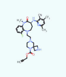 C#CCOC(=O)N1CCN(CCN2CC[C@H](Nc3nc(C)cc(C(F)(F)F)c3C#N)C(=O)N(C)c3cccc(F)c32)CC12CNC2